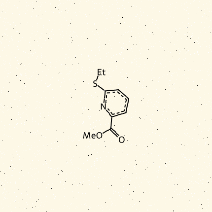 CCSc1cccc(C(=O)OC)n1